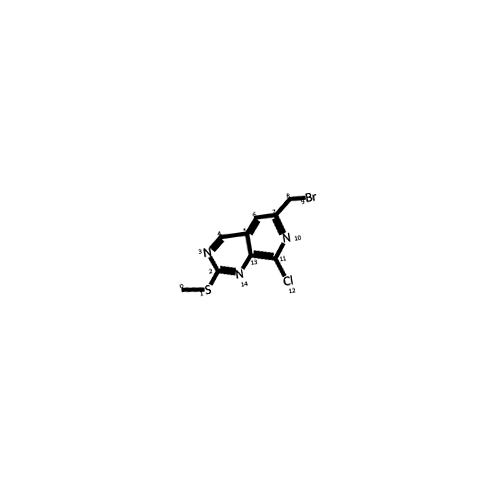 CSc1ncc2cc(CBr)nc(Cl)c2n1